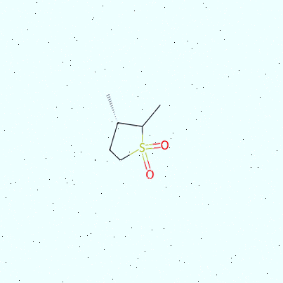 CC1[C@@H](C)CCS1(=O)=O